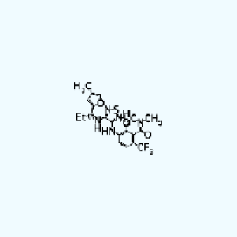 CC[C@@H](Nc1nsnc1Nc1ccc(C(F)(F)F)c(C(=O)N(C)C)c1O)c1cc(C)co1